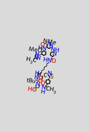 CNC(=O)c1nnc(Nc2ccc(C(=O)NCCCCCCCCC(=O)N[C@H](C(=O)N3C[C@H](O)C[C@H]3C(=O)N[C@@H](C)c3ccc(-c4scnc4C)cc3)C(C)(C)C)cn2)cc1Nc1cccc(-c2ncn(C)n2)c1OC